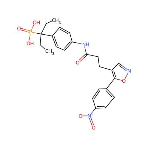 CCC(CC)(c1ccc(NC(=O)CCc2cnoc2-c2ccc([N+](=O)[O-])cc2)cc1)P(=O)(O)O